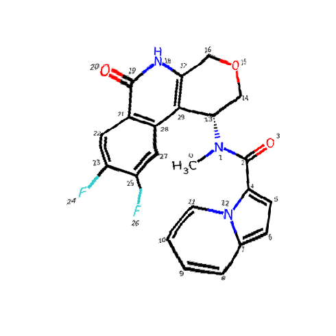 CN(C(=O)c1ccc2ccccn12)[C@H]1COCc2[nH]c(=O)c3cc(F)c(F)cc3c21